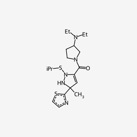 CCN(CC)C1CCN(C(=O)C2=CC(C)(c3nccs3)NN2SC(C)C)C1